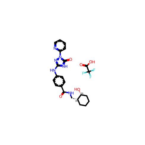 O=C(NC[C@H]1CCCC[C@H]1O)c1ccc(Nc2nn(-c3ccccn3)c(=O)[nH]2)cc1.O=C(O)C(F)(F)F